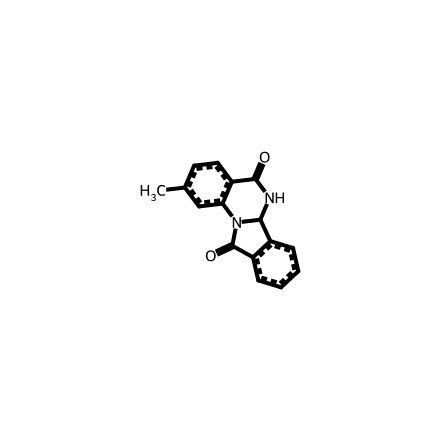 Cc1ccc2c(c1)N1C(=O)c3ccccc3C1NC2=O